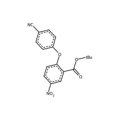 CC(C)(C)OC(=O)c1cc([N+](=O)[O-])ccc1Oc1ccc(C#N)cc1